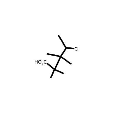 CC(Cl)C(C)(C)C(C)(C)C(=O)O